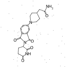 NC(=O)CC1CCN(c2ccc3c(c2)C(=O)N(C2CCC(=O)NC2=O)C3=O)CC1